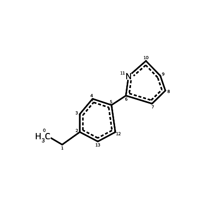 CCc1c[c]c(-c2ccccn2)cc1